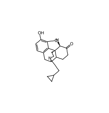 O=C1CCC2C3Cc4ccc(O)c5c4[C@]2(CCN3CC2CC2)[C@@H]1O5